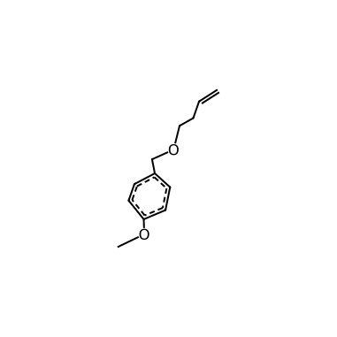 C=CCCOCc1ccc(OC)cc1